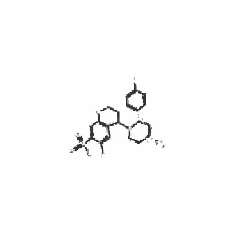 O=S(=O)(Cl)c1cc2c(cc1F)C(N1CC[C@@H](C(F)(F)F)C[C@H]1c1ccc(F)cc1)CCO2